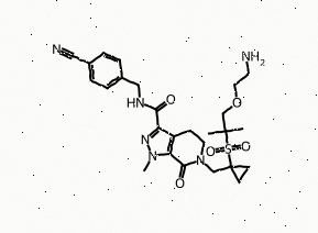 Cn1nc(C(=O)NCc2ccc(C#N)cc2)c2c1C(=O)N(CC1(S(=O)(=O)C(C)(C)COCCN)CC1)CC2